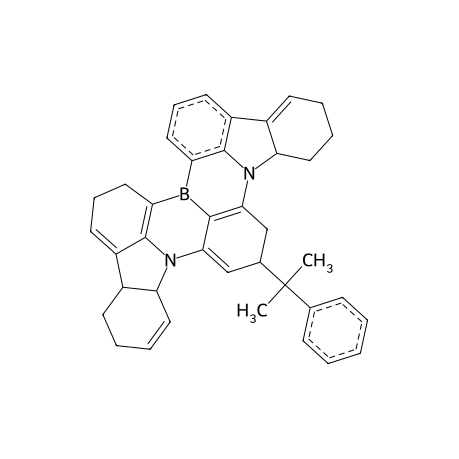 CC(C)(c1ccccc1)C1C=C2C3=C(C1)N1c4c(cccc4C4=CCCCC41)B3C1=C3C(=CCC1)C1CCC=CC1N23